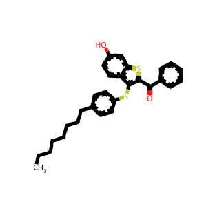 CCCCCCCCc1ccc(Sc2c(C(=O)c3ccccc3)sc3cc(O)ccc23)cc1